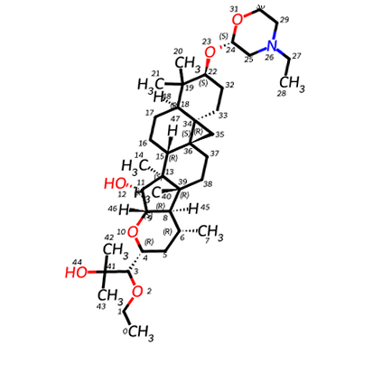 CCOC([C@H]1C[C@@H](C)[C@H]2[C@H](O1)[C@H](O)[C@@]1(C)[C@@H]3CC[C@H]4C(C)(C)[C@@H](O[C@H]5CN(CC)CCO5)CC[C@@]45C[C@@]35CC[C@]21C)C(C)(C)O